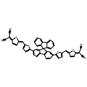 N#CC(C#N)=c1cc/c(=C\c2ccc(-c3ccc4c(c3)C3(c5ccccc5-c5ccccc53)c3cc(-c5ccc(/C=c6\ccc(=C(C#N)C#N)s6)s5)ccc3-4)s2)s1